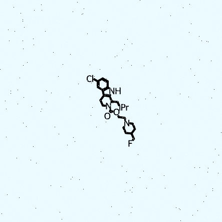 CC(C)CC1c2[nH]c3ccc(Cl)cc3c2CCN1C(=O)OCCN1CCC(CF)CC1